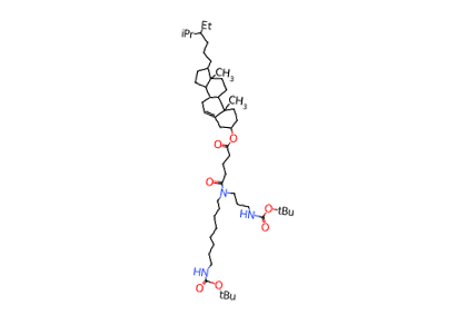 CCC(CCCC1CCC2C3CC=C4CC(OC(=O)CCCC(=O)N(CCCCCCCCNC(=O)OC(C)(C)C)CCCNC(=O)OC(C)(C)C)CCC4(C)C3CCC12C)C(C)C